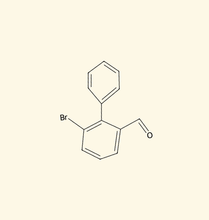 O=Cc1cccc(Br)c1-c1ccccc1